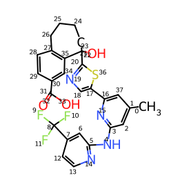 Cc1cc(Nc2cc(C(F)(F)F)ccn2)nc(-c2cnc(C3(O)CCCCc4ccc(C(=O)O)cc43)s2)c1